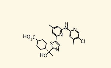 Cc1cc(Nc2cc(C)c(Cl)cn2)nc(-c2cnc(C(C)(O)[C@H]3CC[C@H](C(=O)O)CC3)s2)c1